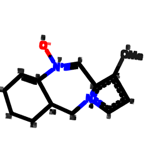 COc1ccn2c1C=[N+]([O-])C1=CCCCC1C2